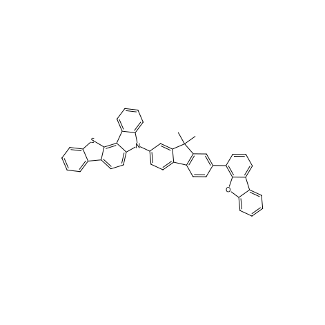 CC1(C)c2cc(-c3cccc4c3oc3ccccc34)ccc2-c2ccc(-n3c4ccccc4c4c5sc6ccccc6c5ccc43)cc21